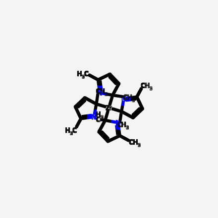 CC1=N[C](C)([Zr]([C]2(C)C=CC(C)=N2)([C]2(C)C=CC(C)=N2)[C]2(C)C=CC(C)=N2)C=C1